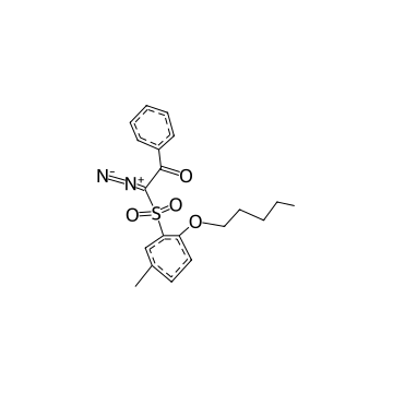 CCCCCOc1ccc(C)cc1S(=O)(=O)C(=[N+]=[N-])C(=O)c1ccccc1